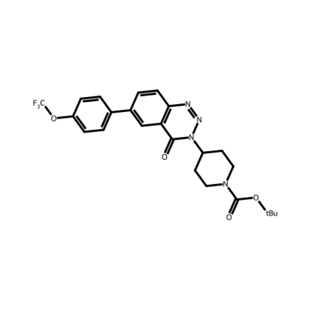 CC(C)(C)OC(=O)N1CCC(n2nnc3ccc(-c4ccc(OC(F)(F)F)cc4)cc3c2=O)CC1